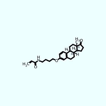 C=CC(=O)NCCCCOc1ccc2c(c1)CC[C@@H]1[C@@H]2CC[C@]2(C)C(=O)CC[C@@H]12